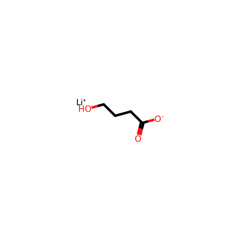 O=C([O-])CCCO.[Li+]